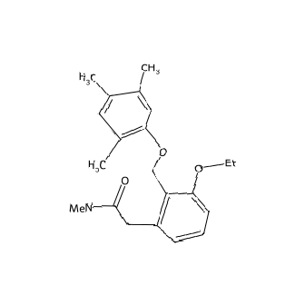 CCOc1cccc(CC(=O)NC)c1COc1cc(C)c(C)cc1C